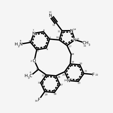 CC1Oc2cc(cnc2N)-c2c(C#N)nn(C)c2Cc2cc(F)cnc2-c2ccc(F)cc21